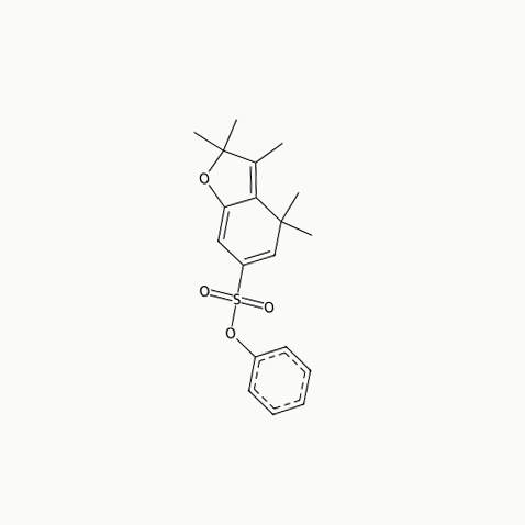 CC1=C2C(=CC(S(=O)(=O)Oc3ccccc3)=CC2(C)C)OC1(C)C